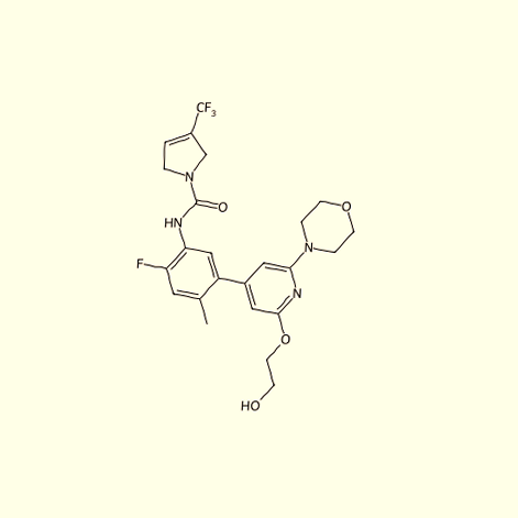 Cc1cc(F)c(NC(=O)N2CC=C(C(F)(F)F)C2)cc1-c1cc(OCCO)nc(N2CCOCC2)c1